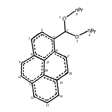 CCCOC(OCCC)c1ccc2ccc3cccc4ccc1c2c34